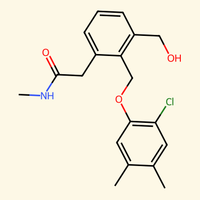 CNC(=O)Cc1cccc(CO)c1COc1cc(C)c(C)cc1Cl